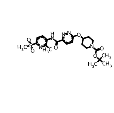 Cc1nc(S(C)(=O)=O)ccc1NC(=O)c1ccc(OC2CCN(C(=O)OC(C)(C)C)CC2)nn1